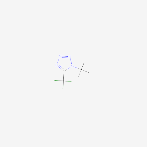 CC(C)(C)n1nnnc1C(Cl)(Cl)Cl